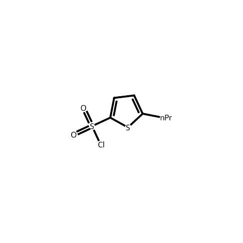 CCCc1ccc(S(=O)(=O)Cl)s1